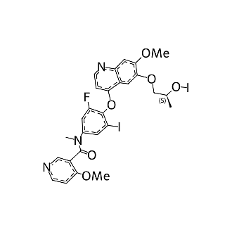 COc1cc2nccc(Oc3c(F)cc(N(C)C(=O)c4cnccc4OC)cc3I)c2cc1OC[C@H](C)OI